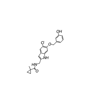 CC1(C(=O)NCc2cc3cc(Cl)c(OCc4cccc(O)c4)cc3[nH]2)CC1